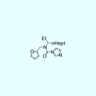 CCCCCCCC(CC)N(Cc1ccco1)C(=O)n1ccnc1